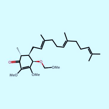 COCO[C@H]1C(OC)=C(OC)C(=O)[C@H](C)[C@H]1C/C=C(\C)CC/C=C(\C)CCC=C(C)C